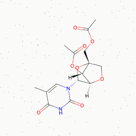 CC(=O)OC[C@]12CO[C@@H]([C@H](n3cc(C)c(=O)[nH]c3=O)O1)[C@@H]2OC(C)=O